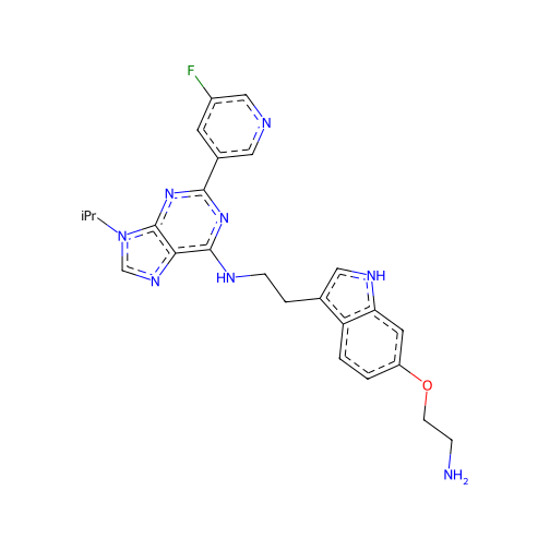 CC(C)n1cnc2c(NCCc3c[nH]c4cc(OCCN)ccc34)nc(-c3cncc(F)c3)nc21